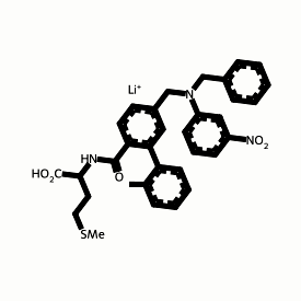 CSCCC(NC(=O)c1ccc(CN(Cc2ccccc2)c2cccc([N+](=O)[O-])c2)cc1-c1ccccc1C)C(=O)O.[Li+]